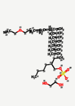 C=C.C=C.C=C.C=C.C=C.C=C.C=C.C=C.C=C.CCCCC(CC)COS(=O)(=O)[O-].CCOCC.OCCO.[Na+]